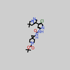 CC1(C)Cc2c(-c3cc(NC(=O)NC4CC45CCN(C(=O)OC(C)(C)C)CC5)ncc3Cl)cnn2C1